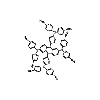 N#Cc1ccc(N(c2ccc(C#N)cc2)c2ccc(-c3c4ccc(N(c5ccc(C#N)cc5)c5ccc(C#N)cc5)cc4c(-c4ccc(N(c5ccc(C#N)cc5)c5ccc(C#N)cc5)cc4)c4ccc(N(c5ccc(C#N)cc5)c5ccc(C#N)cc5)cc34)cc2)cc1